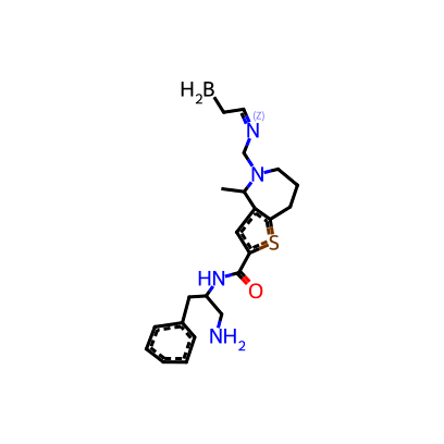 BC/C=N\CN1CCCc2sc(C(=O)NC(CN)Cc3ccccc3)cc2C1C